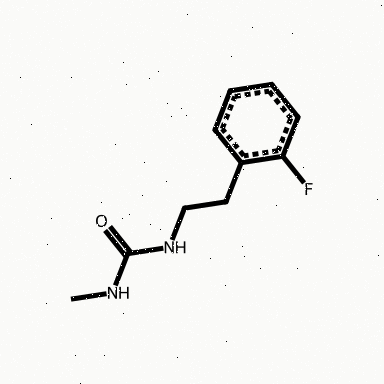 CNC(=O)NCCc1ccccc1F